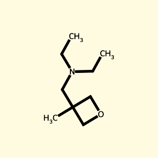 CCN(CC)CC1(C)COC1